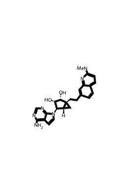 CNc1ccc2ccc(CC[C@@]34C[C@@H]3[C@@H](n3ccc5c(N)ncnc53)[C@H](O)[C@@H]4O)cc2n1